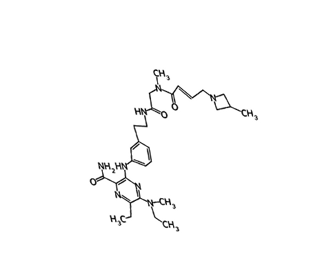 CCc1nc(C(N)=O)c(Nc2cccc(CCNC(=O)CN(C)C(=O)/C=C/CN3CC(C)C3)c2)nc1N(C)CC